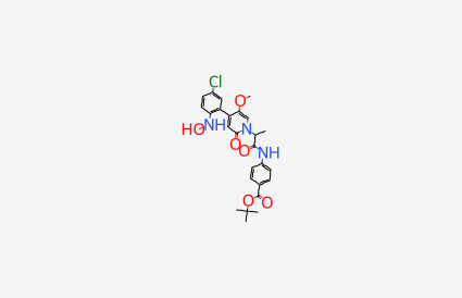 COc1cn(C(C)C(=O)Nc2ccc(C(=O)OC(C)(C)C)cc2)c(=O)cc1-c1cc(Cl)ccc1NO